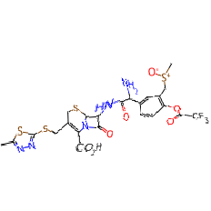 Cc1nnc(SCC2=C(C(=O)O)N3C(=O)C(NC(=O)C(N)c4ccc(OC(=O)C(F)(F)F)c(C[S+](C)[O-])c4)C3SC2)s1